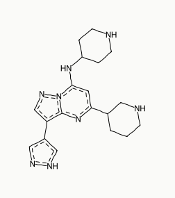 c1n[nH]cc1-c1cnn2c(NC3CCNCC3)cc(C3CCCNC3)nc12